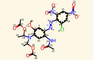 COc1cc(/N=N/c2c(Cl)cc([N+](=O)[O-])cc2[N+](=O)[O-])c(NC(C)=O)cc1N(C(C)OC(C)=O)C(C)OC(C)=O